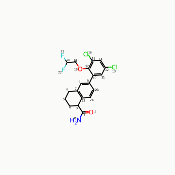 NC(=O)C1CCCc2cc(-c3cc(Cl)cc(Cl)c3OCC(F)F)ccc21